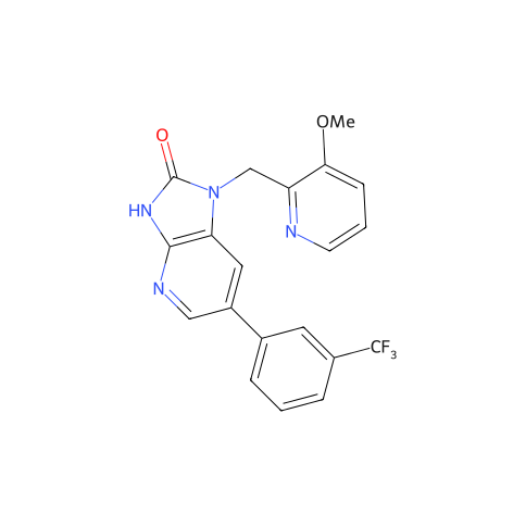 COc1cccnc1Cn1c(=O)[nH]c2ncc(-c3cccc(C(F)(F)F)c3)cc21